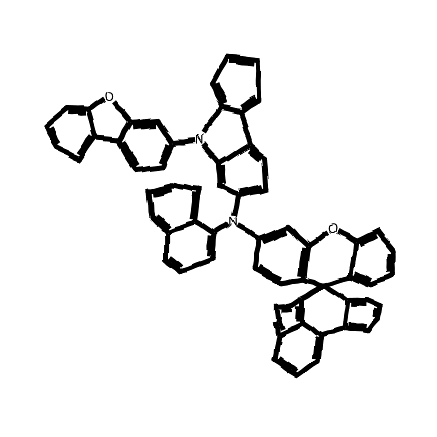 c1ccc2c(c1)Oc1cc(N(c3ccc4c5ccccc5n(-c5ccc6c(c5)oc5ccccc56)c4c3)c3cccc4ccccc34)ccc1C21c2ccccc2-c2cccc3cccc1c23